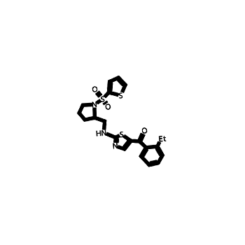 CCc1ccccc1C(=O)c1cnc(NCC2CCCN2S(=O)(=O)c2cccs2)s1